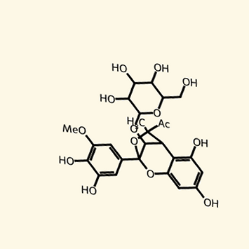 COc1cc(C23Oc4cc(O)cc(O)c4C(C2OC2OC(CO)C(O)C(O)C2O)C(C)(C(C)=O)O3)cc(O)c1O